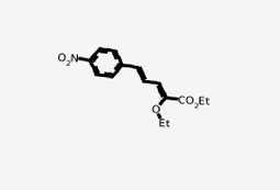 CCOC(=O)C(=CC=Cc1ccc([N+](=O)[O-])cc1)OCC